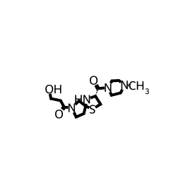 CN1CCN(C(=O)[C@@H]2CSC3(CCN(C(=O)CCO)C3)N2)CC1